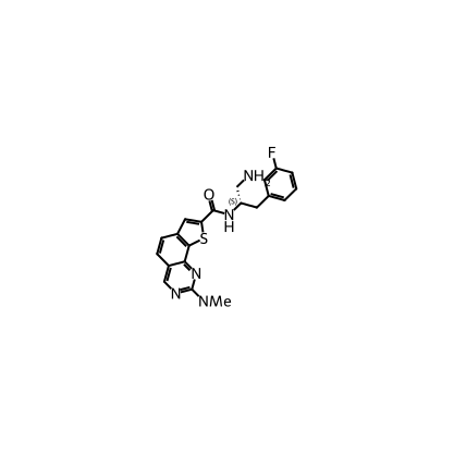 CNc1ncc2ccc3cc(C(=O)N[C@H](CN)Cc4cccc(F)c4)sc3c2n1